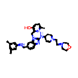 Cc1cc(C)cc(NCc2ccc3nc(NC4CCN(CCN5CCOCC5)CC4)n(Cc4nc(C)ccc4O)c3c2)c1